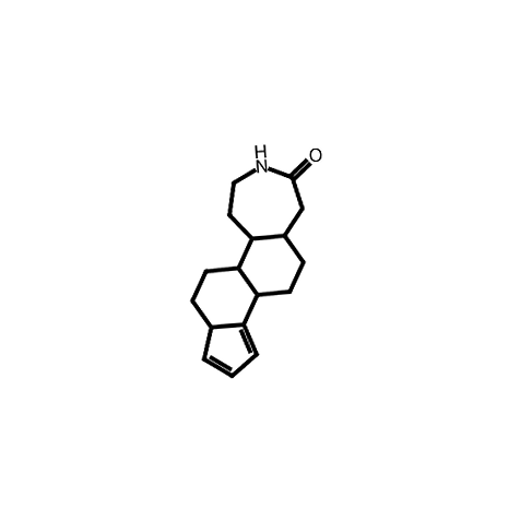 O=C1CC2CCC3C4=CC=CC4CCC3C2CCN1